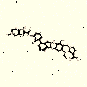 CCOc1cc(OC2CCc3c(-c4cccc(NC(=O)c5nc6c(n5C)CCN(C)C6)c4Cl)cccc32)c(Cl)c(F)c1CN1CCC(C(=O)O)C1